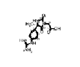 C[C@]1(c2ccc(NC(=N)N)cc2)NC(=O)N(CC(=O)O)C1=O